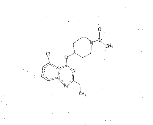 CCc1nc(OC2CCN([S+](C)[O-])CC2)c2c(Cl)cccc2n1